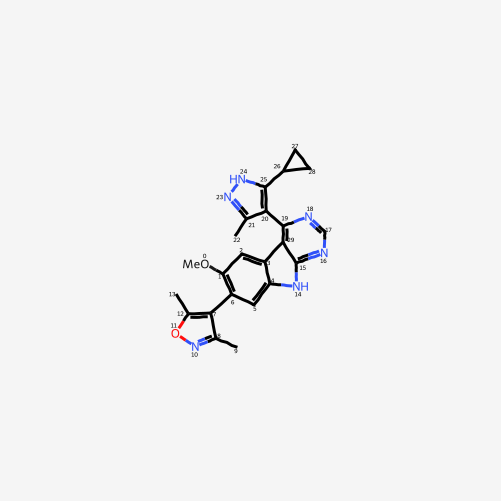 COc1cc2c(cc1-c1c(C)noc1C)[nH]c1ncnc(-c3c(C)n[nH]c3C3CC3)c12